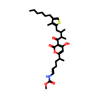 CCCCCCc1csc(CC(C)C(C)C(=O)c2c(O)cc(C(C)CC/C=C/NC(=O)OC)oc2=O)c1C